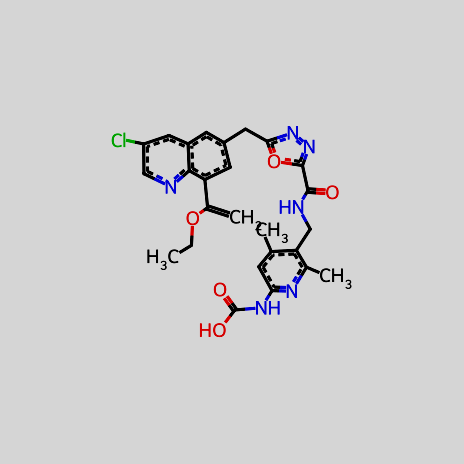 C=C(OCC)c1cc(Cc2nnc(C(=O)NCc3c(C)cc(NC(=O)O)nc3C)o2)cc2cc(Cl)cnc12